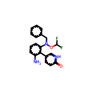 Nc1cccc(N(Cc2ccccc2)OC(F)F)c1-c1ccc(=O)[nH]c1